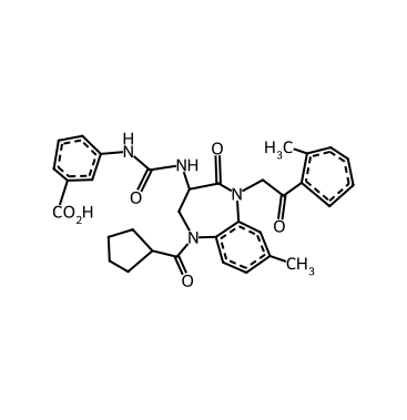 Cc1ccc2c(c1)N(CC(=O)c1ccccc1C)C(=O)C(NC(=O)Nc1cccc(C(=O)O)c1)CN2C(=O)C1CCCC1